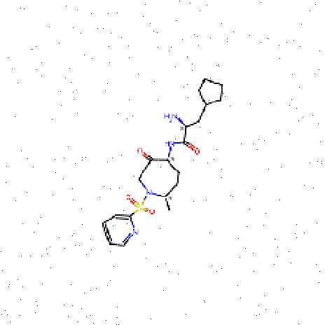 C[C@@H]1CC[C@H](NC(=O)[C@@H](N)CC2CCCC2)C(=O)CN1S(=O)(=O)c1ccccn1